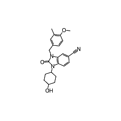 COc1ccc(Cn2c(=O)n(C3CCC(O)CC3)c3ccc(C#N)cc32)cc1C